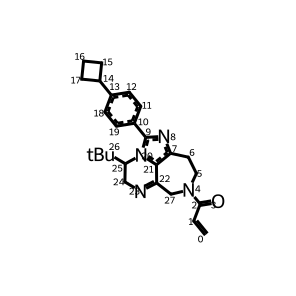 C=CC(=O)N1CCc2nc(-c3ccc(C4CCC4)cc3)n3c2C(=NCC3C(C)(C)C)C1